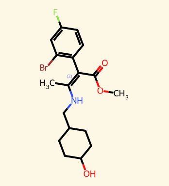 COC(=O)/C(=C(/C)NCC1CCC(O)CC1)c1ccc(F)cc1Br